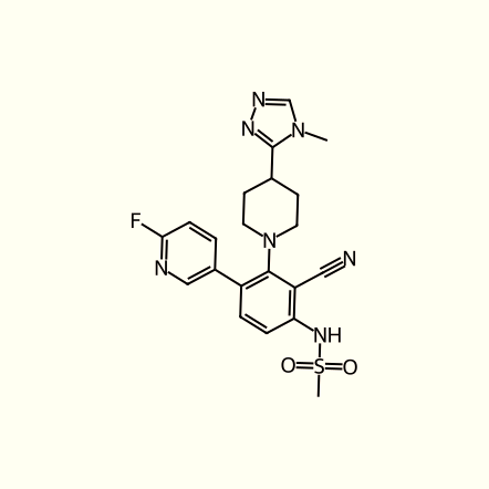 Cn1cnnc1C1CCN(c2c(-c3ccc(F)nc3)ccc(NS(C)(=O)=O)c2C#N)CC1